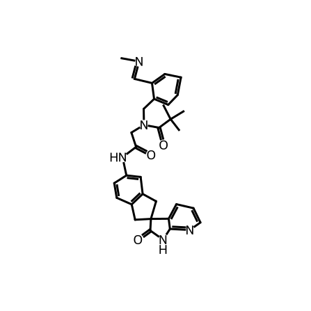 C/N=C/c1ccccc1CN(CC(=O)Nc1ccc2c(c1)CC1(C2)C(=O)Nc2ncccc21)C(=O)C(C)(C)C